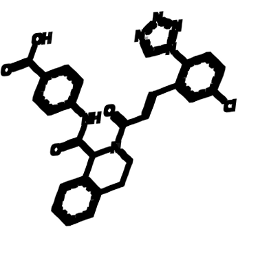 O=C(O)c1ccc(NC(=O)C2c3ccccc3CCN2C(=O)/C=C/c2cc(Cl)ccc2-n2cnnn2)cc1